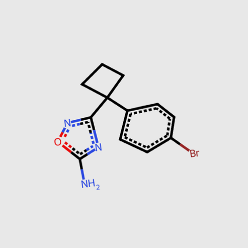 Nc1nc(C2(c3ccc(Br)cc3)CCC2)no1